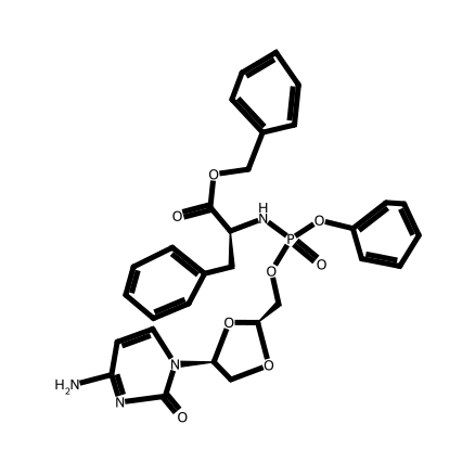 Nc1ccn([C@@H]2CO[C@H](COP(=O)(N[C@@H](Cc3ccccc3)C(=O)OCc3ccccc3)Oc3ccccc3)O2)c(=O)n1